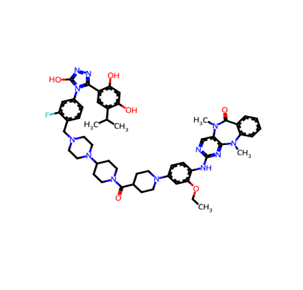 CCOc1cc(N2CCC(C(=O)N3CCC(N4CCN(Cc5ccc(-n6c(O)nnc6-c6cc(C(C)C)c(O)cc6O)cc5F)CC4)CC3)CC2)ccc1Nc1ncc2c(n1)N(C)c1ccccc1C(=O)N2C